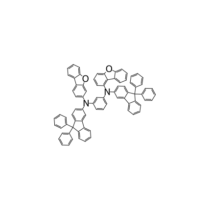 c1ccc(C2(c3ccccc3)c3ccccc3-c3cc(N(c4cccc(N(c5ccc6c(c5)-c5ccccc5C6(c5ccccc5)c5ccccc5)c5cccc6oc7ccccc7c56)c4)c4ccc5c(c4)oc4ccccc45)ccc32)cc1